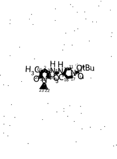 Cc1cc(NC(=O)NC2(C)CCN(C(=O)OC(C)(C)C)CC2)cn(C2CC2)c1=O